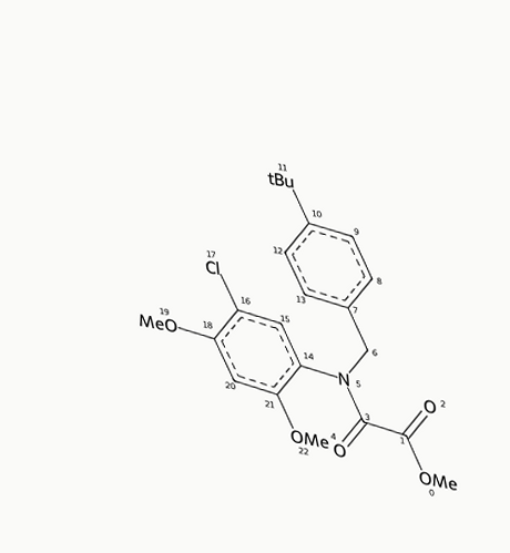 COC(=O)C(=O)N(Cc1ccc(C(C)(C)C)cc1)c1cc(Cl)c(OC)cc1OC